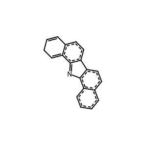 C1=Cc2ccc3c(c2=CC1)=Nc1c-3ccc2ccccc12